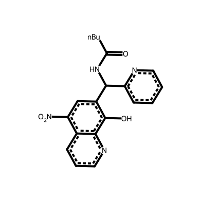 CCCCC(=O)NC(c1ccccn1)c1cc([N+](=O)[O-])c2cccnc2c1O